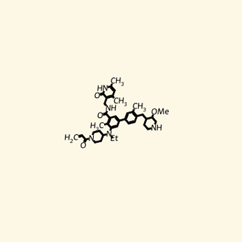 C=CC(=O)N1CCC(N(CC)c2cc(-c3ccc(CC4CCNCC4OC)c(C)c3)cc(C(=O)NCc3c(C)cc(C)[nH]c3=O)c2C)CC1